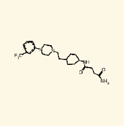 NC(=O)CCC(=O)NC1CCC(CCN2CCN(c3cccc(C(F)(F)F)c3)CC2)CC1